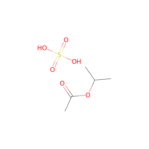 CC(=O)OC(C)C.O=S(=O)(O)O